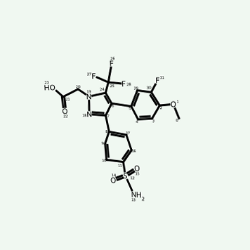 COc1ccc(-c2c(-c3ccc(S(N)(=O)=O)cc3)nn(CC(=O)O)c2C(F)(F)F)cc1F